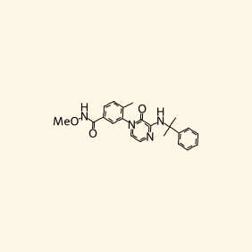 CONC(=O)c1ccc(C)c(-n2ccnc(NC(C)(C)c3ccccc3)c2=O)c1